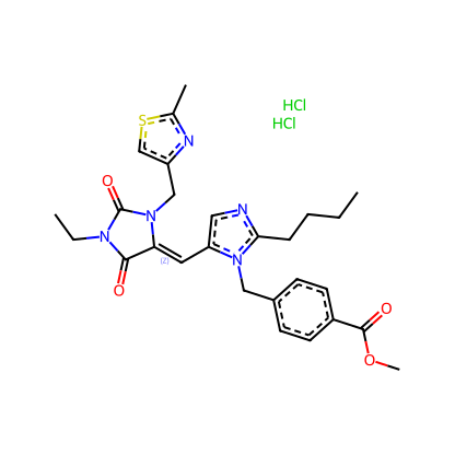 CCCCc1ncc(/C=C2/C(=O)N(CC)C(=O)N2Cc2csc(C)n2)n1Cc1ccc(C(=O)OC)cc1.Cl.Cl